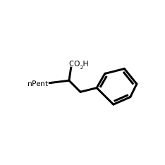 CCCCCC(Cc1ccccc1)C(=O)O